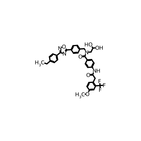 CCc1ccc(-c2noc(-c3ccc(CN(CC(O)O)C(=O)c4ccc(NC(=O)Cc5ccc(OC)cc5C(F)(F)F)cc4)cc3)n2)cc1